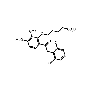 CCOC(=O)CCCCOc1c(C(=O)Cc2c(Cl)cncc2Cl)ccc(OC)c1OC